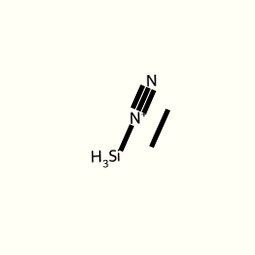 CC.N#[N+][SiH3]